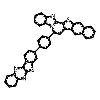 c1ccc2cc3c(cc2c1)sc1c3cc(-c2ccc(-c3ccc4c(c3)sc3nc5ccccc5nc34)cc2)n2c3ccccc3nc12